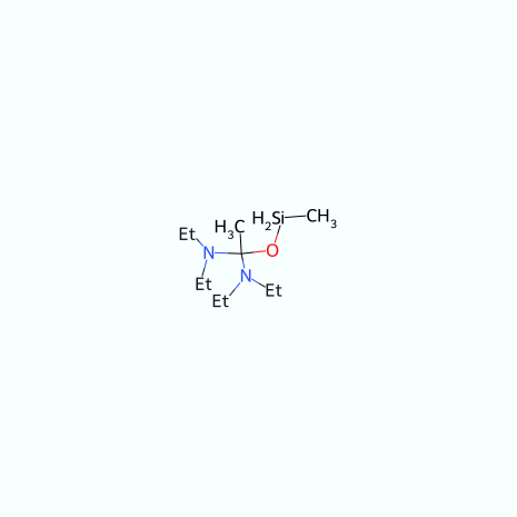 CCN(CC)C(C)(O[SiH2]C)N(CC)CC